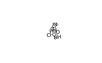 CCNc1cc(Cl)cc(C(=O)NCc2c3n(c(C)cc2=O)CCC3)c1C